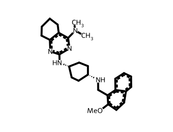 COc1ccc2ccccc2c1CN[C@H]1CC[C@@H](Nc2nc3c(c(N(C)C)n2)CCCC3)CC1